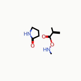 C=C(C)C(=O)ONC.O=C1CCCN1